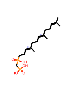 CC(C)=CCC/C(C)=C/CC/C(C)=C/CCP(=O)(O)CP(=O)(O)O